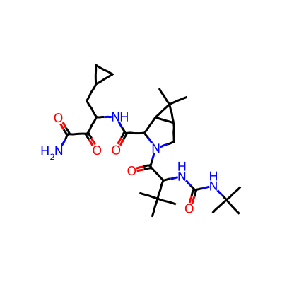 CC(C)(C)NC(=O)NC(C(=O)N1CC2C(C1C(=O)NC(CC1CC1)C(=O)C(N)=O)C2(C)C)C(C)(C)C